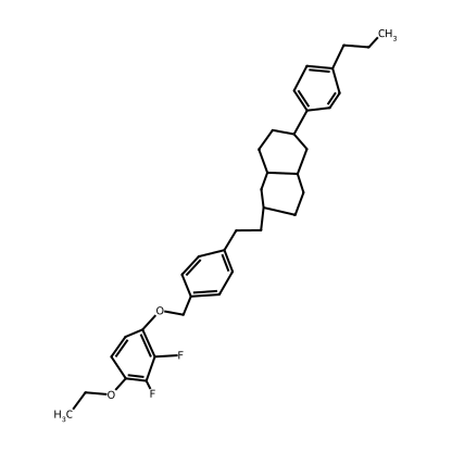 CCCc1ccc(C2CCC3CC(CCc4ccc(COc5ccc(OCC)c(F)c5F)cc4)CCC3C2)cc1